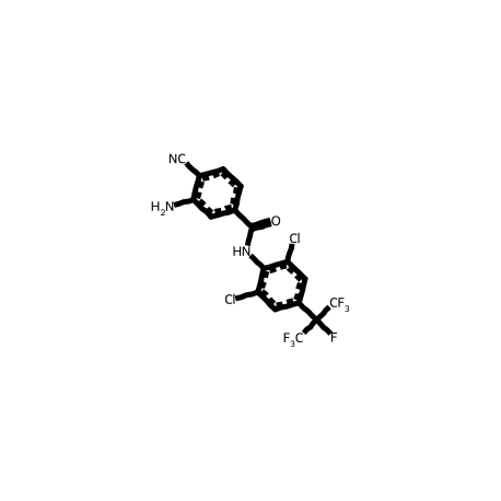 N#Cc1ccc(C(=O)Nc2c(Cl)cc(C(F)(C(F)(F)F)C(F)(F)F)cc2Cl)cc1N